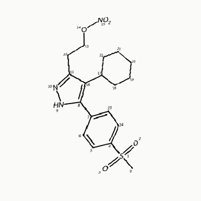 CS(=O)(=O)c1ccc(-c2[nH]nc(CCO[N+](=O)[O-])c2C2CCCCC2)cc1